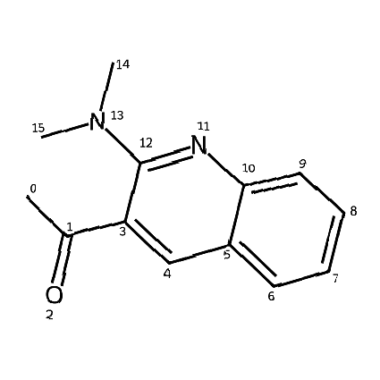 CC(=O)c1cc2ccccc2nc1N(C)C